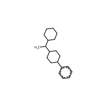 CC(C1CCCCC1)C1CCC(c2ccccc2)CC1